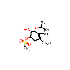 CCC1=C(C(=O)O)C[C@@H](OS(C)(=O)=O)[C@H](O)[C@@H]1OC(CC)CC